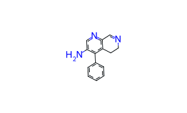 Nc1cnc2c(c1-c1ccccc1)CCN=C2